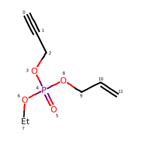 C#CCOP(=O)(OCC)OCC=C